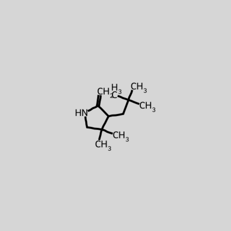 C=C1NCC(C)(C)C1CC(C)(C)C